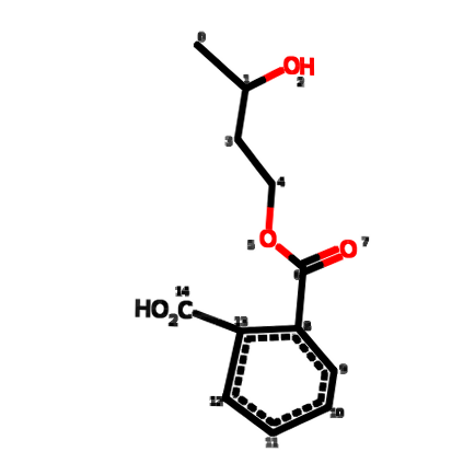 CC(O)CCOC(=O)c1ccccc1C(=O)O